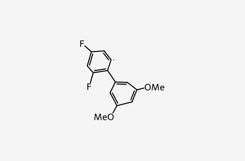 COc1cc(OC)cc(-c2[c]cc(F)cc2F)c1